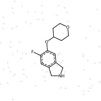 Fc1cc2c(cc1OC1CCOCC1)CNC2